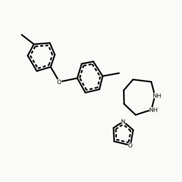 C1CCNNCC1.Cc1ccc(Oc2ccc(C)cc2)cc1.c1cocn1